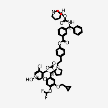 O=C(N[C@@H](c1ccccc1)c1cccc(C(=O)Oc2ccc(CCN3CCC[C@@]3(C(=O)[O-])[C@@H](Cc3c(Cl)c[n+](O)cc3Cl)c3ccc(OC(F)F)c(OCC4CC4)c3)cc2)c1)O[C@H]1CN2CCC1CC2